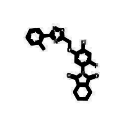 Cc1ccccc1-c1noc(COc2cc(N3C(=O)C4=C(CCCC4)C3=O)c(F)cc2Cl)n1